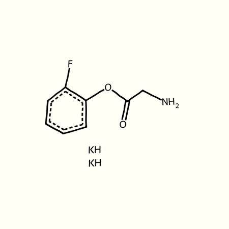 NCC(=O)Oc1ccccc1F.[KH].[KH]